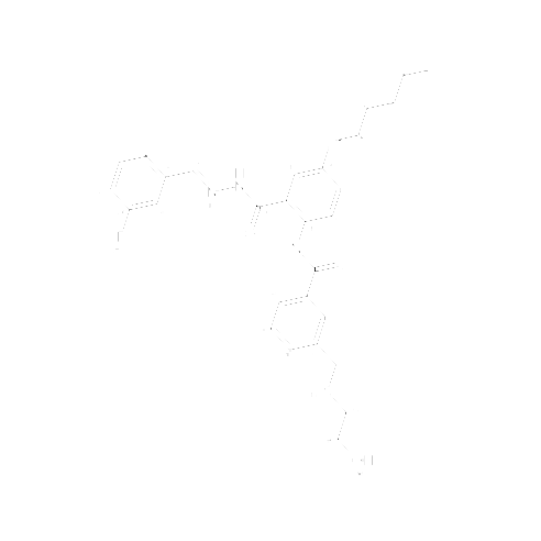 O=C(Nc1ccc(OCCCCF)cc1C(=O)N/N=C/c1cccc(F)c1)c1cccc(CSCCO)c1